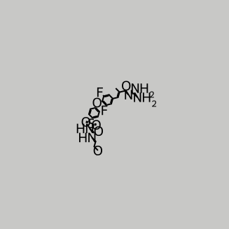 COCCNC(=O)NS(=O)(=O)c1ccc(Oc2c(F)cc(/C=C(\C)C(=O)N=C(N)N)cc2F)cc1